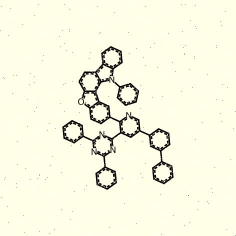 c1ccc(-c2cccc(-c3cnc(-c4ccc5oc6ccc7c8ccccc8n(-c8ccccc8)c7c6c5c4)c(-c4nc(-c5ccccc5)nc(-c5ccccc5)n4)c3)c2)cc1